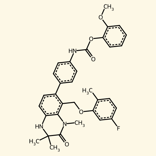 COc1ccccc1OC(=O)Nc1ccc(-c2ccc3c(c2COc2cc(F)ccc2C)N(C)C(=O)C(C)(C)N3)cc1